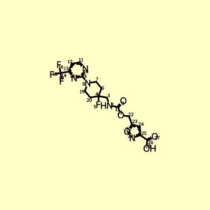 O=C(NCC1(F)CCN(c2nccc(C(F)(F)F)n2)CC1)OCc1cc(C(=O)O)no1